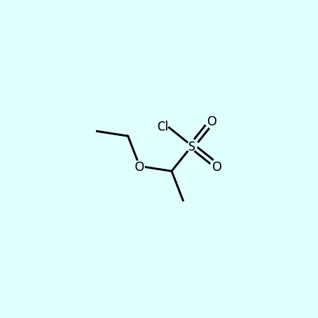 CCOC(C)S(=O)(=O)Cl